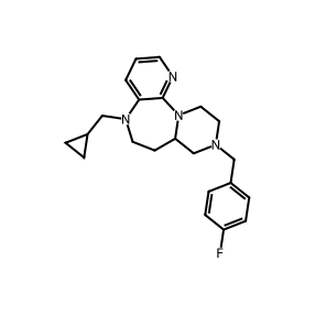 Fc1ccc(CN2CCN3c4ncccc4N(CC4CC4)CCC3C2)cc1